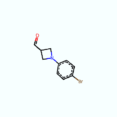 O=CC1CN(c2ccc(Br)cc2)C1